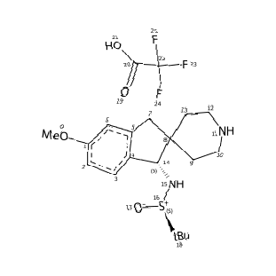 COc1ccc2c(c1)CC1(CCNCC1)[C@@H]2N[S@+]([O-])C(C)(C)C.O=C(O)C(F)(F)F